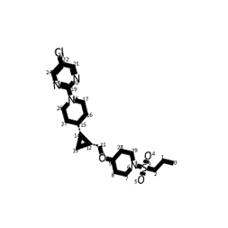 CCCS(=O)(=O)N1CCC(OC[C@@H]2C[C@@H]2C2CCN(c3ncc(Cl)cn3)CC2)CC1